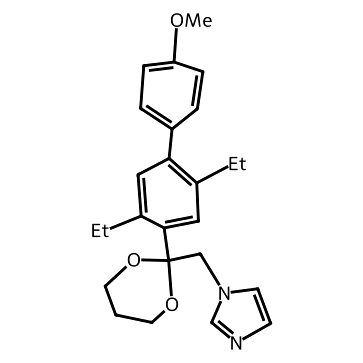 CCc1cc(C2(Cn3ccnc3)OCCCO2)c(CC)cc1-c1ccc(OC)cc1